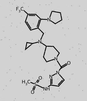 CS(=O)(=O)Nc1ccn(C(=O)N2CCC(N(Cc3ccc(C(F)(F)F)cc3N3CCCC3)C3CC3)CC2)n1